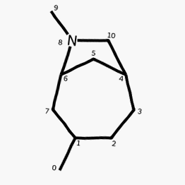 CC1CCC2CC(C1)N(C)C2